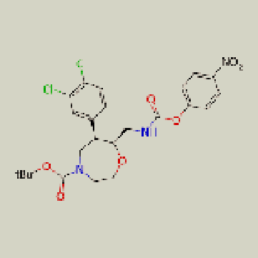 CC(C)(C)OC(=O)N1CCO[C@H](CNC(=O)Oc2ccc([N+](=O)[O-])cc2)[C@H](c2ccc(Cl)c(Cl)c2)C1